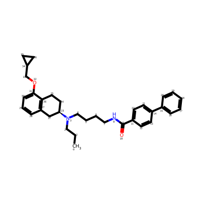 CCCN(CCCCNC(=O)c1ccc(-c2ccccc2)cc1)[C@@H]1CCc2c(cccc2OCC2CC2)C1